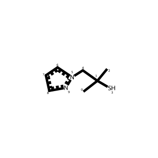 CC(C)(S)Cn1cccn1